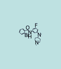 CN1CCC(N(C)c2cc(F)cc(NC(=O)c3ccccc3Br)c2)CC1